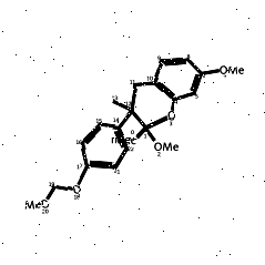 CCCCCCCCCCC1(OC)Oc2cc(OC)ccc2CC1(C)c1ccc(OCOC)cc1